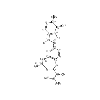 CCCN(CCC)C(=O)C1Cc2ccc(-c3cc4c(=O)n(CC)ccc4n3C)cc2NC(N)C1